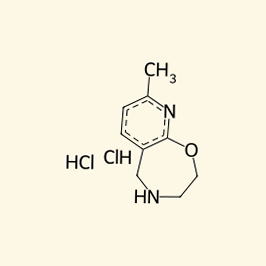 Cc1ccc2c(n1)OCCNC2.Cl.Cl